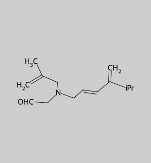 C=C(C)CN(CC=O)C/C=C/C(=C)C(C)C